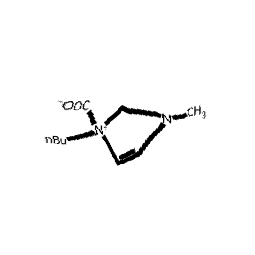 CCCC[N+]1(C(=O)[O-])C=CN(C)C1